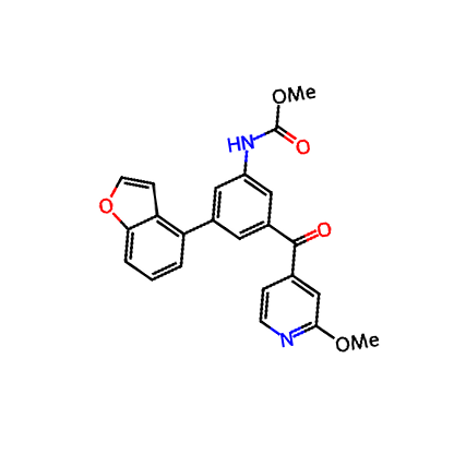 COC(=O)Nc1cc(C(=O)c2ccnc(OC)c2)cc(-c2cccc3occc23)c1